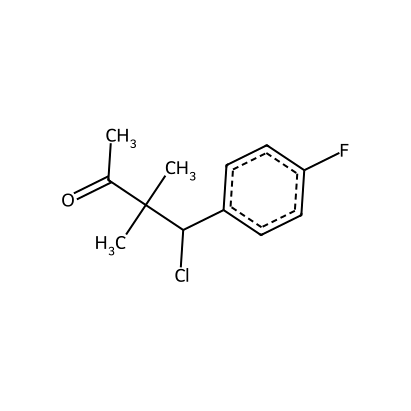 CC(=O)C(C)(C)C(Cl)c1ccc(F)cc1